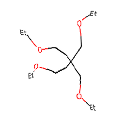 CCOCC(COCC)(COCC)COCC